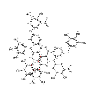 C=C(C)C1=C(O)C(C(C)(C)C)CC(Cc2cc(Cc3cc(C(C)(C)C)c(O)c(C(C)(C)C)c3)ccc2N(CN(c2ccc(Cc3cc(C(=C)C)c(O)c(C(C)(C)C)c3)cc2)c2ccc(Cc3cc(C(C)(C)C)c(O)c(C(C)(C)C)c3)cc2Cc2cc(C(C)(C)C)c(O)c(C(C)(C)C)c2)C2C=CC(CC3=CC(C(C)(C)C)C(O)C(C(C)(C)C)=C3)=CC2)=C1